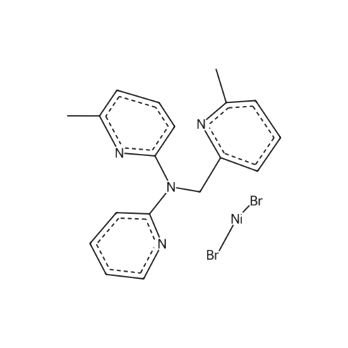 Cc1cccc(CN(c2ccccn2)c2cccc(C)n2)n1.[Br][Ni][Br]